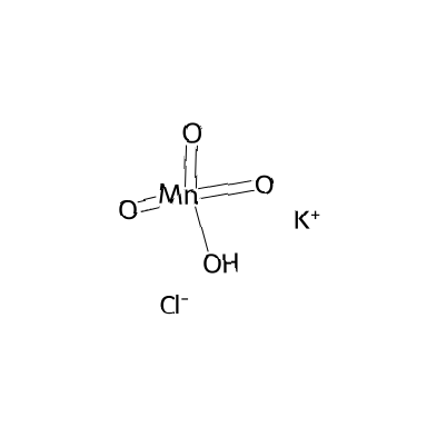 [Cl-].[K+].[O]=[Mn](=[O])(=[O])[OH]